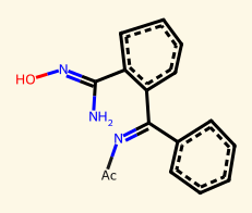 CC(=O)N=C(c1ccccc1)c1ccccc1C(N)=NO